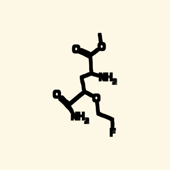 COC(=O)C(N)CC(OCCF)C(N)=O